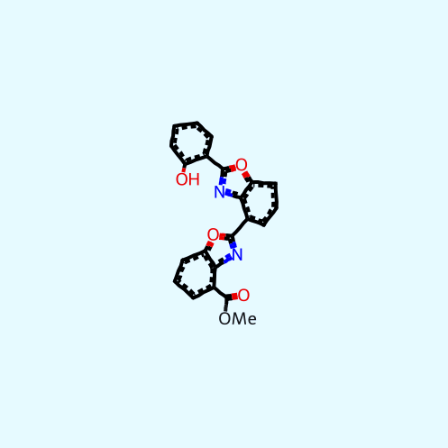 COC(=O)c1cccc2oc(-c3cccc4oc(-c5ccccc5O)nc34)nc12